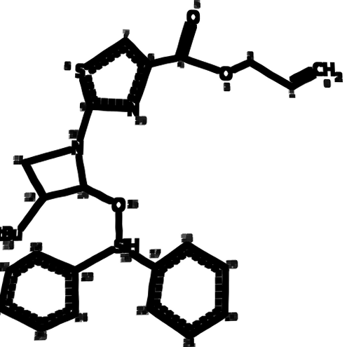 C=CCOC(=O)c1csc(N2CC(C(C)(C)C)C2O[SiH](c2ccccc2)c2ccccc2)n1